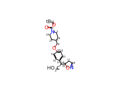 CC(C)(C)OC(=O)N1CCC(COc2ccc(C(C(=O)O)[C@H]3CC=NO3)cc2)CC1